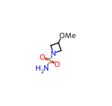 COC1CN(S(N)(=O)=O)C1